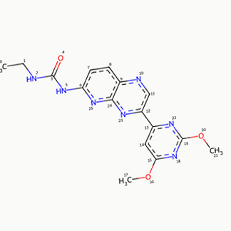 CCNC(=O)Nc1ccc2ncc(-c3cc(OC)nc(OC)n3)nc2n1